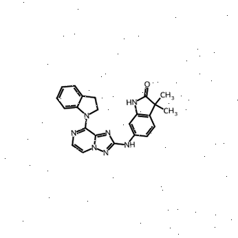 CC1(C)C(=O)Nc2cc(Nc3nc4c(N5CCc6ccccc65)nccn4n3)ccc21